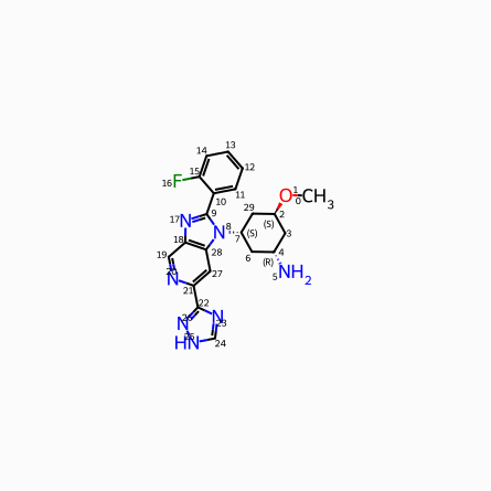 CO[C@H]1C[C@H](N)C[C@H](n2c(-c3ccccc3F)nc3cnc(-c4nc[nH]n4)cc32)C1